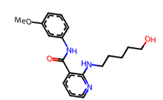 COc1cccc(NC(=O)c2cccnc2NCCCCCO)c1